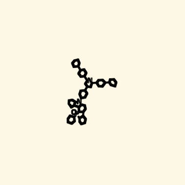 O=P1(c2ccccc2)c2ccccc2-c2ccc3c(c21)c1ccccc1n3-c1ccc(-c2cc(-c3ccc(-c4ccccc4)cc3)nc(-c3ccc(-c4ccccc4)cc3)c2)cc1